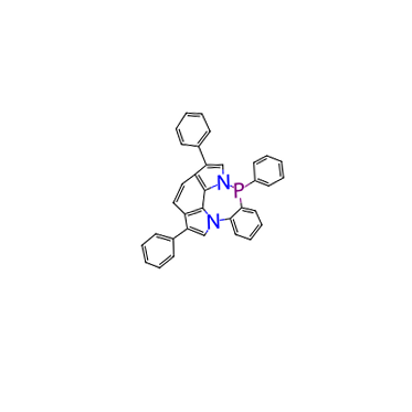 c1ccc(-c2cn3c4ccccc4p(-c4ccccc4)n4cc(-c5ccccc5)c5ccc2c3c54)cc1